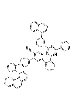 N#Cc1ccc(-c2ccccc2-c2nc(-c3ccccc3)nc(-c3cccc(-c4cccc5ccccc45)c3)n2)cc1-c1ccc(-c2ccccc2-c2cccc3ccc4ccccc4c23)cc1